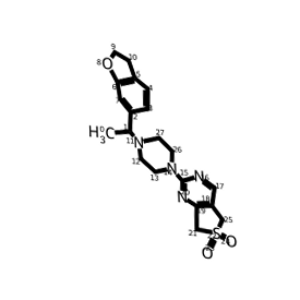 CC(c1ccc2c(c1)OCC2)N1CCN(c2ncc3c(n2)CS(=O)(=O)C3)CC1